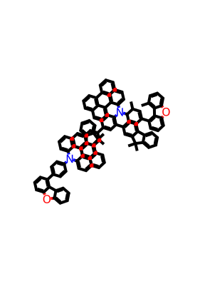 Cc1cccc2oc3cccc(C4=CC(C)C(N(c5ccc(-c6cc(-c7ccccc7)c7c(-c8ccccc8N(c8ccc(-c9cccc%10oc%11ccccc%11c9%10)cc8)c8ccccc8-c8cccc9c8-c8ccccc8C9(C)C)cccc7c6)cc5-c5ccc6c(c5)C(C)(C)c5ccccc5-6)c5ccccc5-c5cccc6cccc(-c7ccccc7)c56)C=C4)c3c12